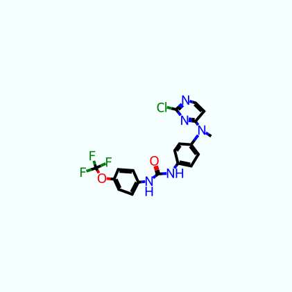 CN(c1ccc(NC(=O)Nc2ccc(OC(F)(F)F)cc2)cc1)c1ccnc(Cl)n1